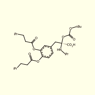 CCCCOC(=O)O[C@](Cc1ccc(OC(=O)CCC(C)C)c(OC(=O)CCC(C)C)c1)(NC(C)C)C(=O)O